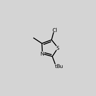 Cc1nc(C(C)(C)C)sc1Cl